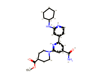 CC(C)(C)OC(=O)C1CCN(c2cc(C(N)=O)cc(-c3ccnc(NC4CCCCC4)c3)n2)CC1